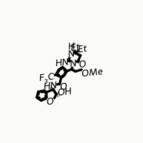 CCC1(CC)CC(=O)N(C(CCOC)c2ccc(C(F)(F)F)c(C(=O)N[C@@H]3c4ccccc4OC[C@H]3O)c2)C(=N)N1